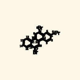 CC(C)c1ccc2c(c1)c(Br)cc1c3ccccc3c(Br)cc21